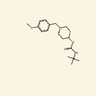 COc1ccc(CN2CCC(OC(=O)NC(C)(C)C)CC2)cc1